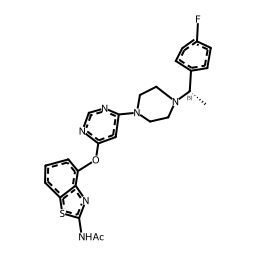 CC(=O)Nc1nc2c(Oc3cc(N4CCN([C@@H](C)c5ccc(F)cc5)CC4)ncn3)cccc2s1